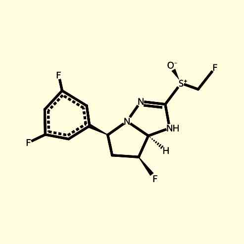 [O-][S@@+](CF)C1=NN2[C@H](c3cc(F)cc(F)c3)C[C@H](F)[C@@H]2N1